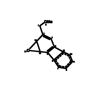 COCC1=CC2=C(c3ccccc32)C2OC12